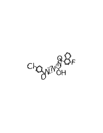 O=C(c1ccc(Cl)cc1)N1CCN([C@@H]2CN(C(=O)c3ccc(F)c4ccccc34)C[C@H]2O)CC1